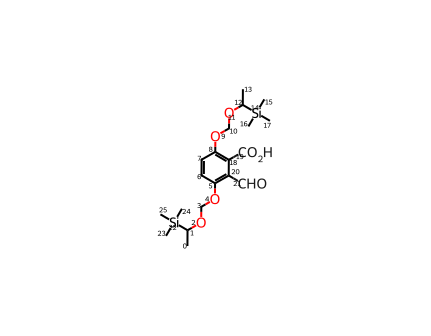 CC(OCOc1ccc(OCOC(C)[Si](C)(C)C)c(C(=O)O)c1C=O)[Si](C)(C)C